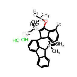 CCc1cccc2c1C(O[Si](C)(C)C)=C([SiH](C)C)C2c1cccc2c1[CH]([Zr]([CH3])([CH3])=[SiH2])c1ccccc1-2.Cl.Cl